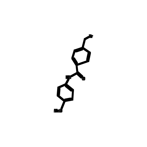 COc1ccc(NC(=O)c2ccc(CBr)cc2)cc1